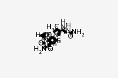 COc1c(N2C[C@@H](C)[C@@H](C(N)CNC(N)=O)C2)c(F)cc2c(=O)n(N)c(=O)n(C3CC3)c12